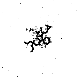 CCCC1(CCC)CC(O)=C(C2(c3nc(S(N)(=O)=O)n(C)c3CC3CC3)C=CC=CC2)C(=O)O1